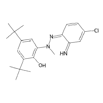 CN(/N=C1/C=CC(Cl)=CC1=N)c1cc(C(C)(C)C)cc(C(C)(C)C)c1O